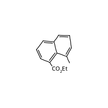 CCOC(=O)c1cccc2cccc(C)c12